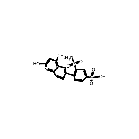 Cc1cc(O)nc2ccc(-c3ccc(S(=O)(=O)O)cc3S(N)(=O)=O)cc12